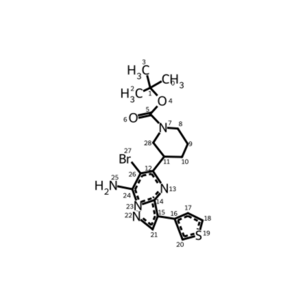 CC(C)(C)OC(=O)N1CCCC(c2nc3c(-c4ccsc4)cnn3c(N)c2Br)C1